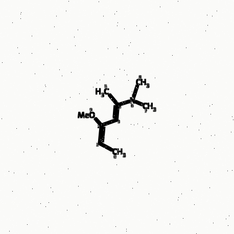 C/C=C(\C=C(/C)N(C)C)OC